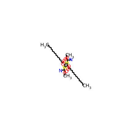 CCCCCCCCCCCCCCCCCC(=O)Oc1c2c(c(OC(=O)CCCCCCCCCCCCCCCCC)c3c1SC(=C(C#N)C(=O)OCC)S3)SC(=C(C#N)C(=O)OCC)S2